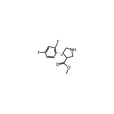 COC(=O)C1CNC[C@H]1c1ccc(F)cc1F